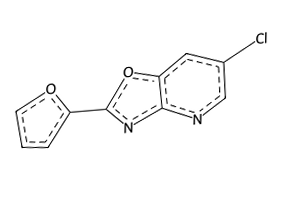 Clc1cnc2nc(-c3ccco3)oc2c1